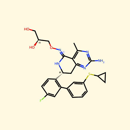 Cc1nc(N)nc2c1/C(=N/OC[C@@H](O)CO)N[C@@H](c1ccc(F)cc1-c1cccc(SC3CC3)c1)C2